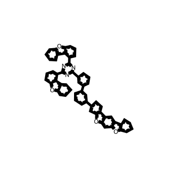 c1cc(-c2cccc(-c3nc(-c4cccc5oc6ccccc6c45)nc(-c4cccc5oc6ccccc6c45)n3)c2)cc(-c2ccc3c(c2)oc2cc4oc5ccccc5c4cc23)c1